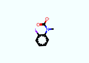 CN(C([O])=O)c1ccccc1I